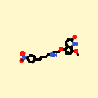 COc1ccc(OCCNCCCCc2ccc([N+](=O)[O-])cc2)c2c1NC(=O)CC2